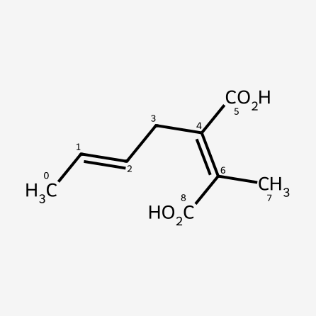 CC=CCC(C(=O)O)=C(C)C(=O)O